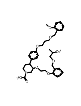 COc1ccccc1COCCCOc1ccc(C2CCN(C(=O)O)CC2OCCOc2ccccc2COCC(C)O)cc1